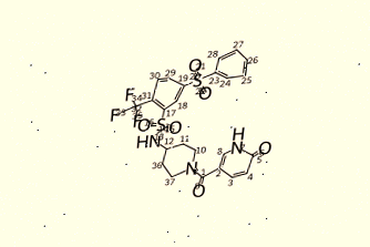 O=C(c1ccc(=O)[nH]c1)N1CCC(NS(=O)(=O)c2cc(S(=O)(=O)c3ccccc3)ccc2C(F)(F)F)CC1